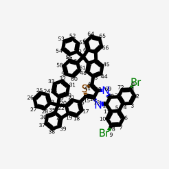 Brc1ccc2c3ccc(Br)cc3c3nc4c(-c5ccc6c(c5)C(c5ccccc5)(c5ccccc5)c5ccccc5-6)sc(-c5ccc6c(c5)C(c5ccccc5)(c5ccccc5)c5ccccc5-6)c4nc3c2c1